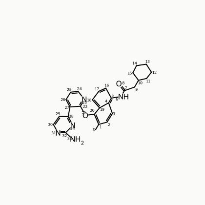 Cc1ccc2c(NC(=O)CC3CCCCC3)cccc2c1Oc1ncccc1-c1ccnc(N)n1